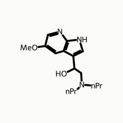 CCCN(CCC)CC(O)c1c[nH]c2ncc(OC)cc12